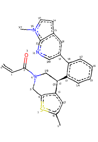 C=CC(=O)N1Cc2sc(C)cc2[C@H](c2ccccc2-c2cnc3c(ccn3C)c2)C1